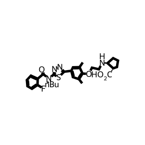 CCCCN(C(=O)c1ccccc1F)c1nnc(-c2cc(C)c(OCCN[C@H]3CCC[C@@H]3C(=O)O)c(C)c2)s1